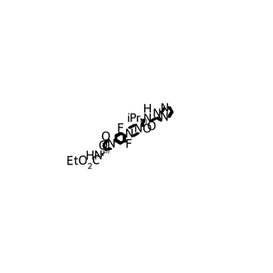 CCOC(=O)NC[C@H]1CN(c2cc(F)c(N3CCN(C(=O)[C@@H](NC(=O)c4cn5cccnc5n4)C(C)C)CC3)c(F)c2)C(=O)O1